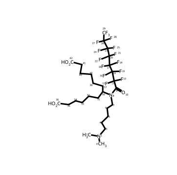 CN(C)CCCCCN(C(=O)C(F)(F)C(F)(F)C(F)(F)C(F)(F)C(F)(F)C(F)(F)C(F)(F)F)C(CCCCCC(=O)O)CCCCCC(=O)O